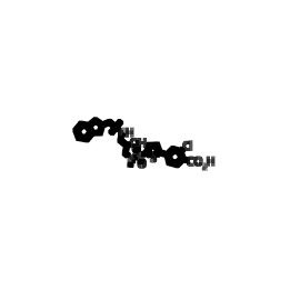 CN(CC(O)CNC(C)(C)CC1Cc2ccccc2C1)S(=O)(=O)c1ccc(-c2ccc(C(=O)O)c(Cl)c2)s1